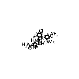 COc1cc(OC(F)(F)F)ccc1Oc1cc(Cl)cc(F)c1C(=O)Nc1cc(C(N)=O)ncc1C